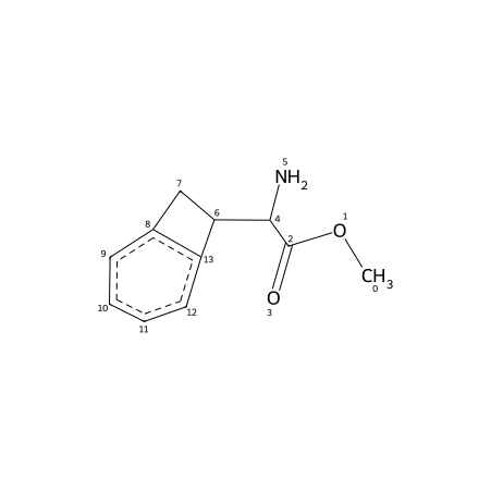 COC(=O)C(N)C1Cc2ccccc21